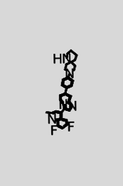 Cc1cc(-c2cnc3cc(-c4ccc(N5CCC6(CCCCN6)CC5)cc4)ccn23)c2cc(F)cc(F)c2n1